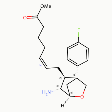 COC(=O)CCC/C=C\C[C@@H]1[C@@H](N)[C@H]2C[C@]1(c1ccc(F)cc1)CO2